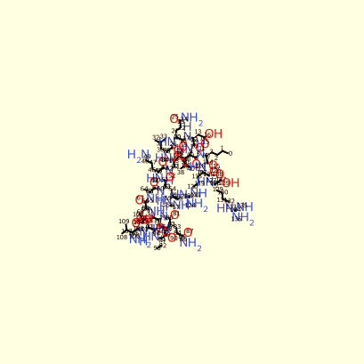 CCCC[C@H](NC(=O)[C@@H](NC(=O)[C@H](CC(=O)O)NC(=O)[C@H](CCC(N)=O)NC(=O)[C@H](CC(C)C)NC(=O)[C@H](CC(C)C)NC(=O)[C@H](CCCN)NC(=O)[C@H](Cc1c[nH]cn1)NC(=O)[C@H](C)NC(=O)[C@H](CO)NC(=O)[C@H](CC(C)C)NC(=O)[C@H](CCC(N)=O)NC(=O)[C@H](CC)NC(=O)[C@H](CC(C)C)NC(=O)[C@@H](N)C(C)C)[C@@H](C)CC)C(=O)N[C@H](CCCNC(=N)N)C(=O)N[C@@H](CCCCNC(=N)N)C(=O)O